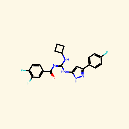 O=C(/N=C(\Nc1cc(-c2ccc(F)cc2)n[nH]1)NC1CCC1)c1ccc(F)c(F)c1